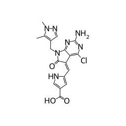 Cc1c(CN2C(=O)/C(=C\c3cc(C(=O)O)c[nH]3)c3c(Cl)nc(N)nc32)cnn1C